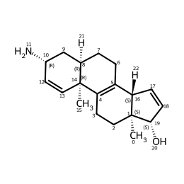 C[C@]12CCC3=C(CC[C@@H]4C[C@@H](N)C=C[C@]34C)[C@@H]1C=C[C@@H]2O